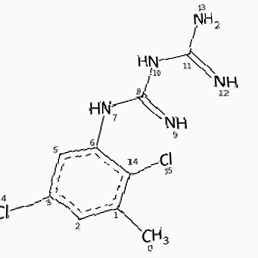 Cc1cc(Cl)cc(NC(=N)NC(=N)N)c1Cl